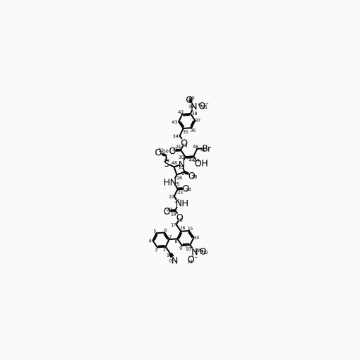 N#Cc1ccccc1-c1cc([N+](=O)[O-])ccc1COC(=O)NCC(=O)NC1C(=O)N(C(C(=O)OCc2ccc([N+](=O)[O-])cc2)=C(O)CBr)C1SC=O